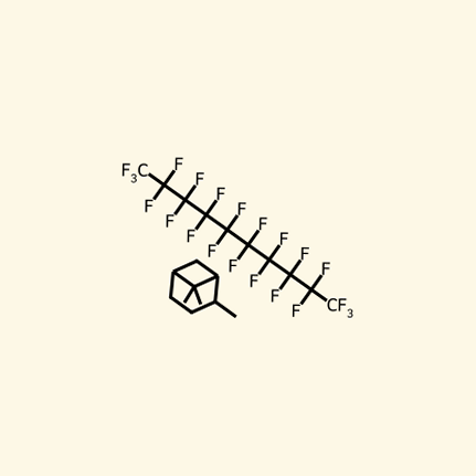 CC1CCC2CC1C2(C)C.FC(F)(F)C(F)(F)C(F)(F)C(F)(F)C(F)(F)C(F)(F)C(F)(F)C(F)(F)C(F)(F)C(F)(F)F